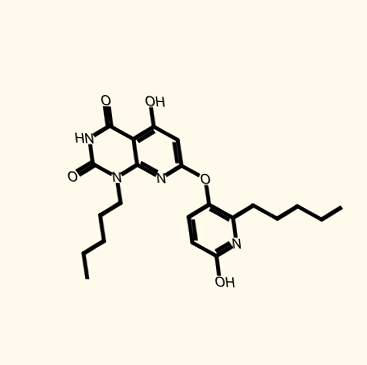 CCCCCc1nc(O)ccc1Oc1cc(O)c2c(=O)[nH]c(=O)n(CCCCC)c2n1